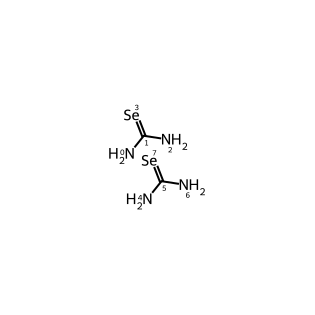 NC(N)=[Se].NC(N)=[Se]